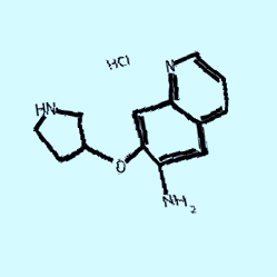 Cl.Nc1cc2cccnc2cc1OC1CCNC1